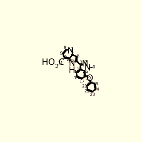 Cn1nc(-c2cc3nccc(C(=O)O)c3[nH]2)c2cccc(Oc3ccccc3)c21